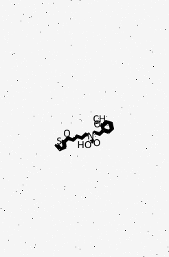 COc1ccccc1CCN(CCCCC(=O)c1cccs1)C(=O)O